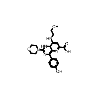 O=C(O)C1=NC2=C(c3ccc(O)cc3)N=C(N3CCOCC3)NC2C(NCCO)=C1